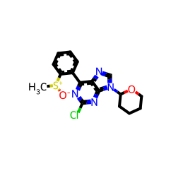 C[S+]([O-])c1ccccc1-c1nc(Cl)nc2c1ncn2C1CCCCO1